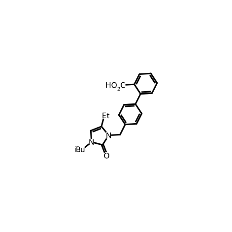 CCc1cn(C(C)CC)c(=O)n1Cc1ccc(-c2ccccc2C(=O)O)cc1